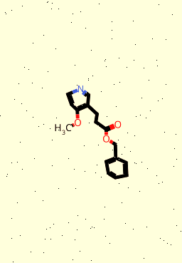 COc1ccncc1CCC(=O)OCc1ccccc1